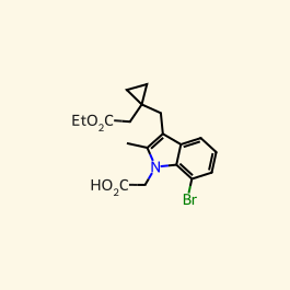 CCOC(=O)CC1(Cc2c(C)n(CC(=O)O)c3c(Br)cccc23)CC1